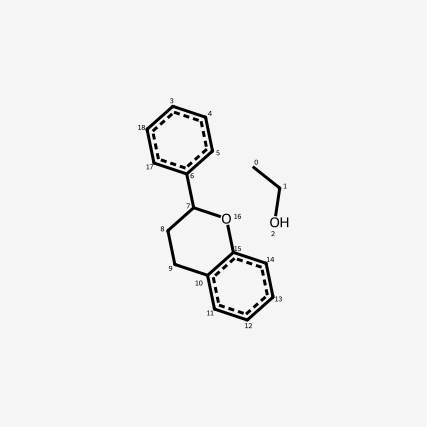 CCO.c1ccc(C2CCc3ccccc3O2)cc1